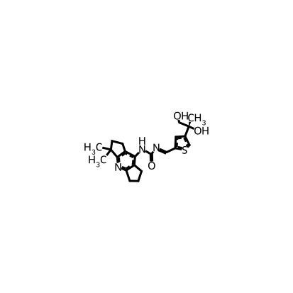 CC1(C)CCc2c1nc1c(c2NC(=O)N=Cc2cc([C@@](C)(O)CO)cs2)CCC1